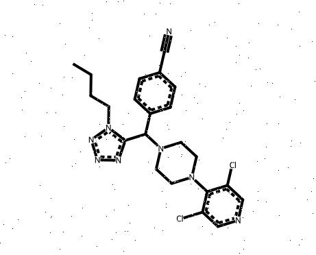 CCCCn1nnnc1C(c1ccc(C#N)cc1)N1CCN(c2c(Cl)cncc2Cl)CC1